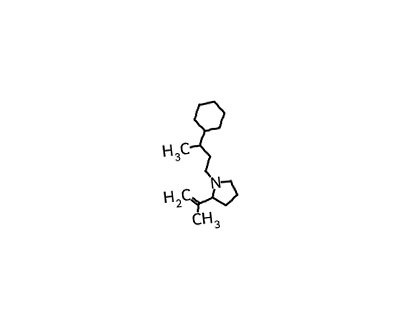 C=C(C)C1CCCN1CCC(C)C1CCCCC1